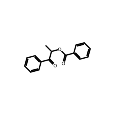 CC(OC(=O)c1ccccc1)C(=O)c1ccccc1